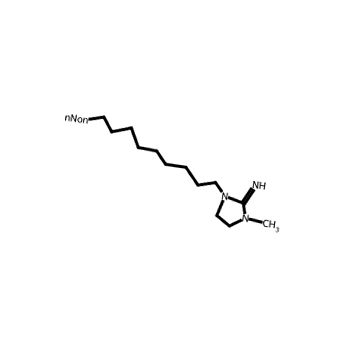 CCCCCCCCCCCCCCCCCCN1CCN(C)C1=N